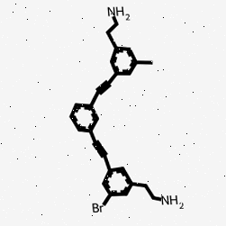 Cc1cc(C#Cc2cccc(C#Cc3cc(Br)cc(CCN)c3)c2)cc(CCN)c1